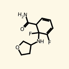 NC(=O)C1C=CC=C(F)C1(F)NC1CCOC1